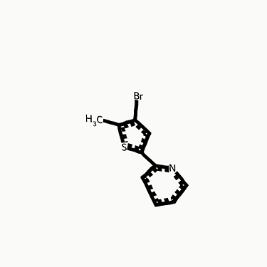 Cc1sc(-c2ccccn2)cc1Br